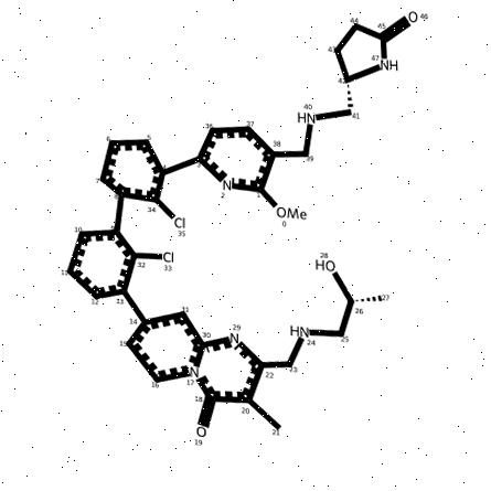 COc1nc(-c2cccc(-c3cccc(-c4ccn5c(=O)c(C)c(CNC[C@@H](C)O)nc5c4)c3Cl)c2Cl)ccc1CNC[C@@H]1CCC(=O)N1